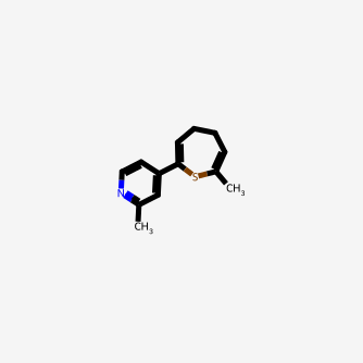 CC1=CCCC=C(c2ccnc(C)c2)S1